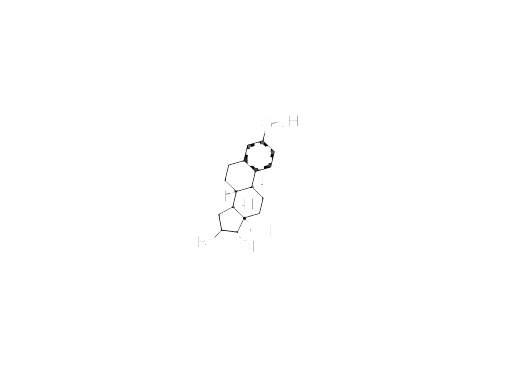 COc1ccc2c(c1)CC[C@@H]1[C@@H]2CC[C@]2(C)[C@@H](O)C(Br)C[C@@H]12